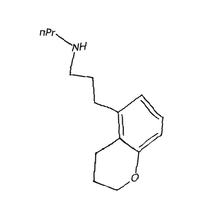 CCCNCCCc1cccc2c1CCCO2